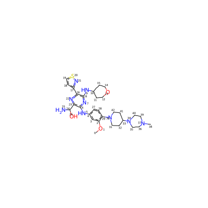 COc1cc(Nc2nc(NC3CCOCC3)c(-c3ccsn3)nc2C(N)O)ccc1N1CCC(N2CCN(C)CC2)CC1